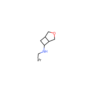 CC(C)CNC1CC2COCC21